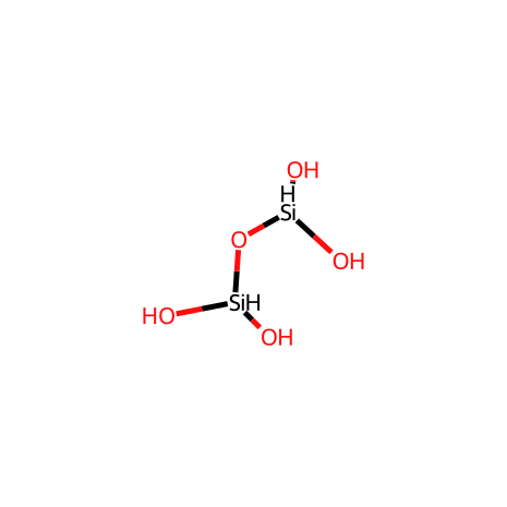 O[SiH](O)O[SiH](O)O